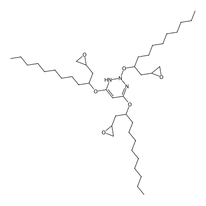 CCCCCCCCCC(CC1CO1)OC1=CC(OC(CCCCCCCCC)CC2CO2)=NN(OC(CCCCCCCCC)CC2CO2)N1